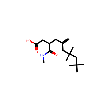 C=C(CC(CC(=O)O)C(=O)NC)CC(C)(C)CC(C)(C)C